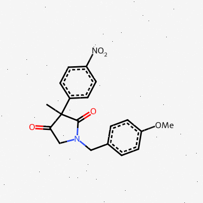 COc1ccc(CN2CC(=O)C(C)(c3ccc([N+](=O)[O-])cc3)C2=O)cc1